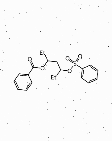 CCC(CC(CC)OS(=O)(=O)c1ccccc1)OC(=O)c1ccccc1